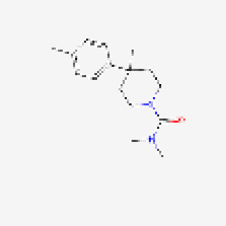 Cc1ccc(C2(C)CCN(C(=O)N(C)C)CC2)cc1